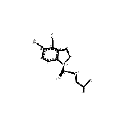 CC(C)COC(=O)N1CCc2c1ccc(Br)c2Cl